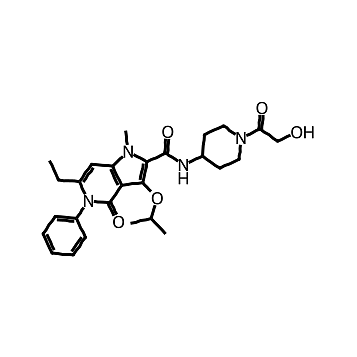 CCc1cc2c(c(OC(C)C)c(C(=O)NC3CCN(C(=O)CO)CC3)n2C)c(=O)n1-c1ccccc1